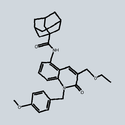 CCOCc1cc2c(NC(=O)C34CC5CC(CC(C5)C3)C4)cccc2n(Cc2ccc(OC)cc2)c1=O